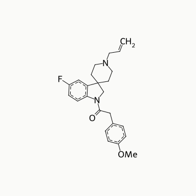 C=CCN1CCC2(CC1)CN(C(=O)Cc1ccc(OC)cc1)c1ccc(F)cc12